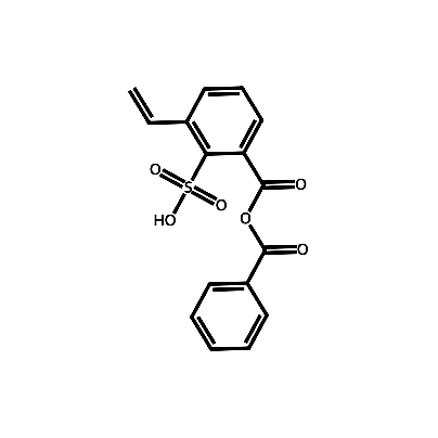 C=Cc1cccc(C(=O)OC(=O)c2ccccc2)c1S(=O)(=O)O